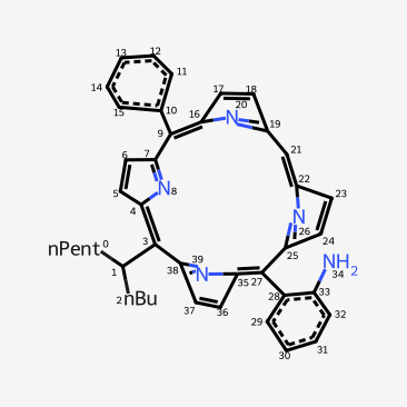 CCCCCC(CCCC)C1=C2C=CC(=N2)C(c2ccccc2)=C2C=CC(=N2)C=C2C=CC(=N2)C(c2ccccc2N)=C2C=CC1=N2